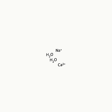 O.O.[Ca+2].[Na+]